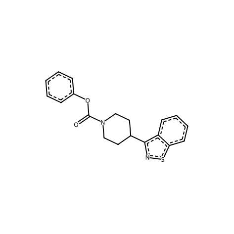 O=C(Oc1ccccc1)N1CCC(c2nsc3ccccc23)CC1